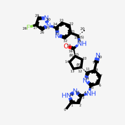 Cc1cc(Nc2ccc(C#N)c([C@@H]3CC[C@@H](C(=O)N[C@@H](C)c4ccc(-n5cc(F)cn5)nc4)C3)n2)n[nH]1